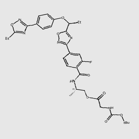 CCc1nc(-c2ccc(OC(CC)c3nc(-c4ccc(C(=O)N[C@@H](C)COC(=O)CNC(=O)OC(C)(C)C)c(F)c4)no3)cc2)no1